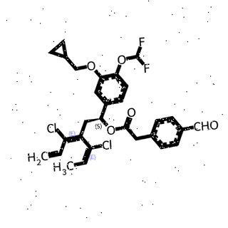 C=C/C(Cl)=C(C[C@H](OC(=O)Cc1ccc(C=O)cc1)c1ccc(OC(F)F)c(OCC2CC2)c1)\C(Cl)=C/C